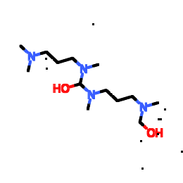 CN(C)CCCN(C)C(O)N(C)CCCN(C)CO